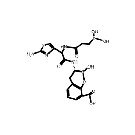 Nc1nc(C(NC(=O)CCB(O)O)C(=O)N[C@H]2Cc3cccc(C(=O)O)c3OB2O)cs1